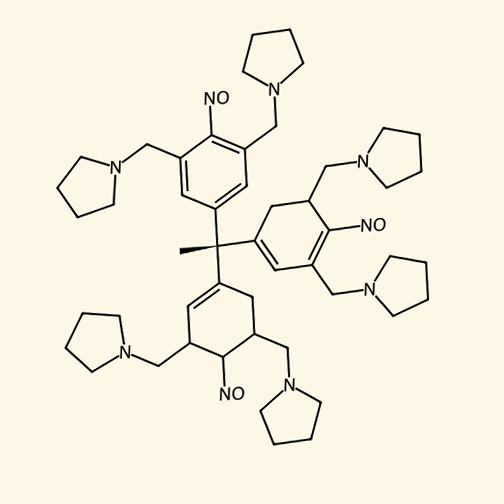 C[C@@](C1=CC(CN2CCCC2)=C(N=O)C(CN2CCCC2)C1)(C1=CC(CN2CCCC2)C(N=O)C(CN2CCCC2)C1)c1cc(CN2CCCC2)c(N=O)c(CN2CCCC2)c1